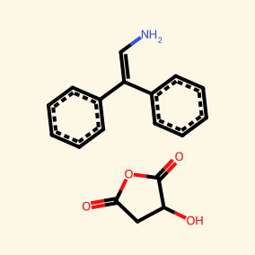 NC=C(c1ccccc1)c1ccccc1.O=C1CC(O)C(=O)O1